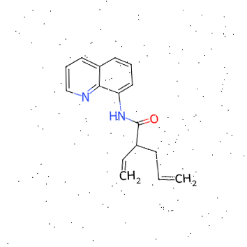 C=CCC(C=C)C(=O)Nc1cccc2cccnc12